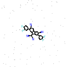 N#CC(C#N)=C1c2cc(-c3ccc(F)c(F)c3)c(C#N)cc2-c2cc(C#N)c(-c3ccc(F)c(F)c3)cc21